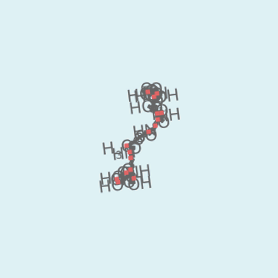 CC(CCCSSCCC(=O)NCC#Cc1cn([C@H]2CC(O)[C@@H](COP(=O)(O)OP(=O)(O)OP(=O)(O)O)O2)c(=O)[nH]c1=O)C(=O)NCCCCCC(=O)NC(CC(=O)O)C(=O)NC(CC(=O)O)C(=O)O